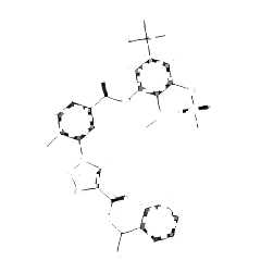 COc1c(NC(=O)c2ccc(C)c(N3C=C(C(=O)NC(C)c4cccnc4)NN3)c2)cc(C(C)(C)C)cc1NS(C)(=O)=O